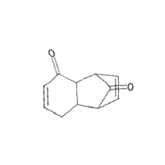 O=C1C2C=CC1C1C(=O)C=CCC21